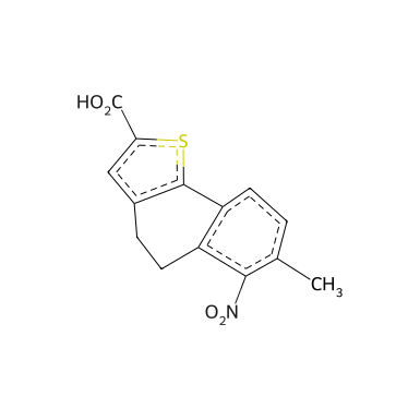 Cc1ccc2c(c1[N+](=O)[O-])CCc1cc(C(=O)O)sc1-2